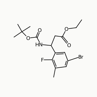 CCOC(=O)CC(NC(=O)OC(C)(C)C)c1cc(Br)cc(C)c1F